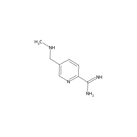 CNCc1ccc(C(=N)N)nc1